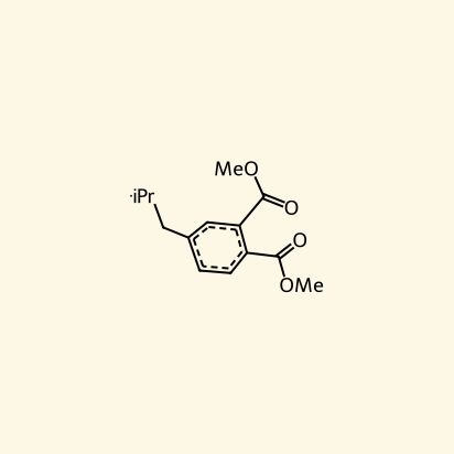 COC(=O)c1ccc(C[C](C)C)cc1C(=O)OC